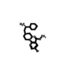 COC(=O)c1cc(Br)cnc1N1CCC(C[C@H](C)C2CCCCC2)CC1